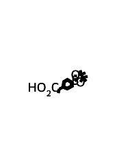 CC(C(=O)O)c1ccc(B2OC(C)(C)C(C)(C)O2)cc1